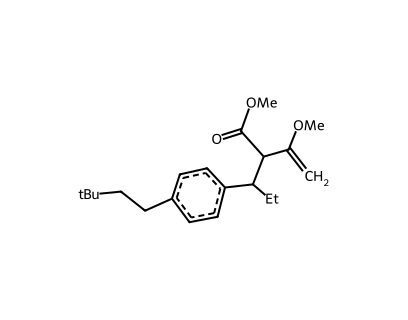 C=C(OC)C(C(=O)OC)C(CC)c1ccc(CCC(C)(C)C)cc1